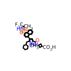 C[C@H](NS(=O)(=O)c1ccc(-c2cc(C(=O)N[C@H]3C[C@H](C(=O)O)C3)n(C)c2CC2CCCCC2)c2ccccc12)C(F)(F)F